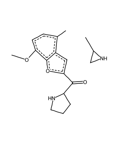 CC1CN1.COc1ccc(C)c2cc(C(=O)C3CCCN3)oc12